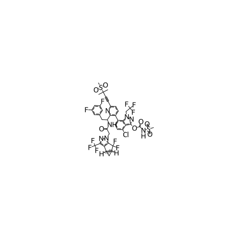 CC(C)(C#Cc1ccc(-c2ccc(Cl)c3c(OC(=O)NS(C)(=O)=O)nn(CC(F)(F)F)c23)c(C(Cc2cc(F)cc(F)c2)NC(=O)Cn2nc(C(F)(F)F)c3c2C(F)(F)[C@@H]2C[C@H]32)n1)S(C)(=O)=O